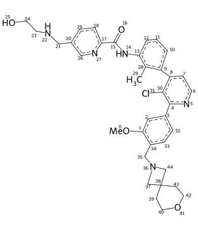 COc1cc(-c2nccc(-c3cccc(NC(=O)c4ccc(CNCCO)cn4)c3C)c2Cl)ccc1CN1CC2(CCOCC2)C1